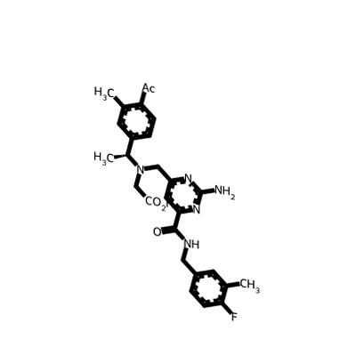 CC(=O)c1ccc([C@H](C)N(CC(=O)O)Cc2cc(C(=O)NCc3ccc(F)c(C)c3)nc(N)n2)cc1C